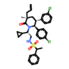 C=CC[C@@]1(C)C[C@H](c2cccc(Cl)c2)[C@@H](c2ccc(Cl)cc2)N([C@H](CNS(=O)(=O)C(C)c2ccccc2)C2CC2)C1=O